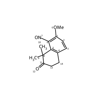 COc1ccc2c(c1N=O)C(C)(C)C(=O)CC2